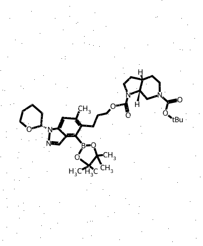 Cc1cc2c(cnn2[C@H]2CCCCO2)c(B2OC(C)(C)C(C)(C)O2)c1CCCOC(=O)N1CC[C@@H]2CCN(C(=O)OC(C)(C)C)C[C@@H]21